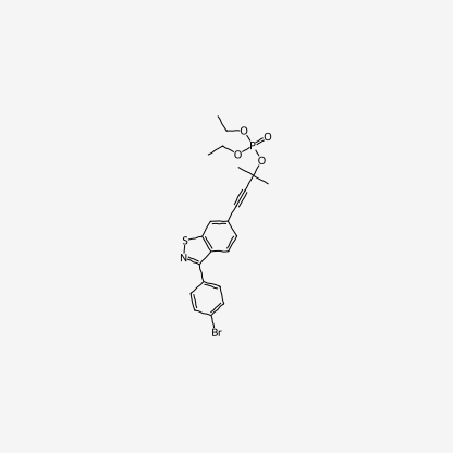 CCOP(=O)(OCC)OC(C)(C)C#Cc1ccc2c(-c3ccc(Br)cc3)nsc2c1